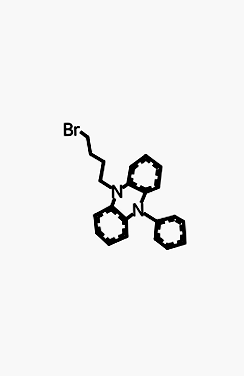 BrCCCCN1c2ccccc2N(c2ccccc2)c2ccccc21